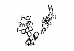 CC(C)N(C(=O)c1cc(F)ccc1Oc1cncnc1N1CC[C@@H](CN2CC3(CCC(S(=O)(=O)N4C[C@@H]5C[C@H]4CN5)CC3)C2)C1)C(C)C.Cl